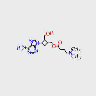 CN(C)CCCC(=O)OC[C@H]1C[C@@H](n2cnc3c(N)ncnc32)[C@H]1CO